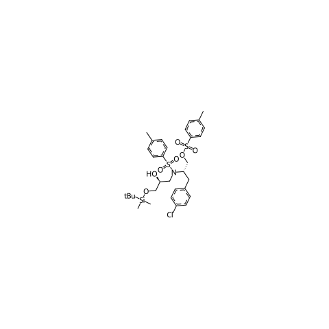 Cc1ccc(S(=O)(=O)OC[C@H](Cc2ccc(Cl)cc2)N(C[C@H](O)CO[Si](C)(C)C(C)(C)C)S(=O)(=O)c2ccc(C)cc2)cc1